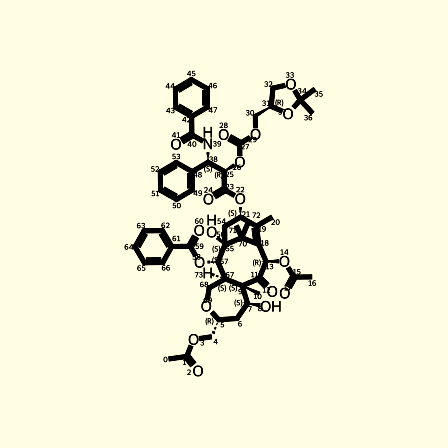 CC(=O)OC[C@H]1C[C@H](O)[C@@]2(C)C(=O)[C@H](OC(C)=O)C3=C(C)[C@@H](OC(=O)[C@H](OC(=O)OC[C@H]4COC(C)(C)O4)[C@@H](NC(=O)c4ccccc4)c4ccccc4)C[C@@](O)([C@@H](OC(=O)c4ccccc4)[C@@H]2CO1)C3(C)C